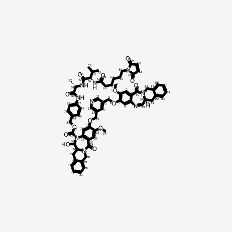 COc1cc2c(cc1OCc1cncc(COc3cc4c(cc3OC)C(=O)N3Cc5ccccc5CC3C(O)N4C(=O)OCc3ccc(NC(=O)[C@H](C)NC(=O)[C@@H](NC(=O)CCCCCN4C(=O)C=CC4=O)C(C)C)cc3)c1)N=C[C@@H]1Cc3ccccc3CN1C2=O